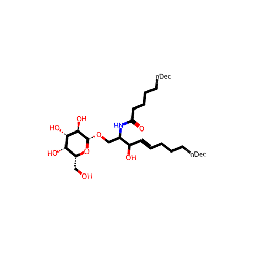 CCCCCCCCCCCCC/C=C/C(O)C(CO[C@@H]1O[C@H](CO)[C@H](O)[C@H](O)[C@H]1O)NC(=O)CCCCCCCCCCCCCC